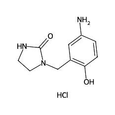 Cl.Nc1ccc(O)c(CN2CCNC2=O)c1